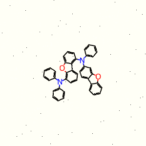 c1ccc(N(c2ccccc2)c2cccc3c2oc2cccc(N(c4ccccc4)c4ccc5c(c4)oc4ccccc45)c23)cc1